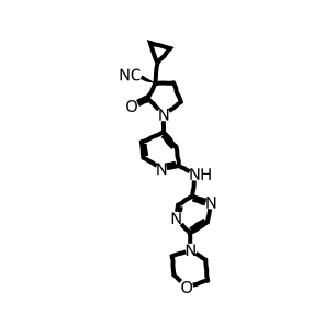 N#C[C@@]1(C2CC2)CCN(c2ccnc(Nc3cnc(N4CCOCC4)cn3)c2)C1=O